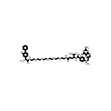 C[C@H](C(=O)NCCOCCOCCOCCOCCOCCNC(=O)CCC(NC(=O)c1ccc(N(C)Cc2cnc3nc(N)nc(N)c3n2)cc1)C(=O)O)c1ccc(-c2ccccc2)c(F)c1